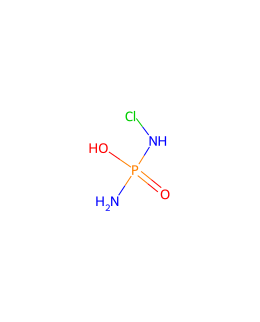 NP(=O)(O)NCl